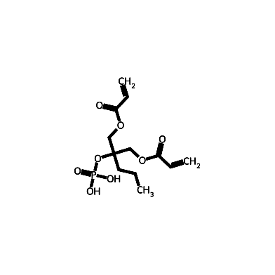 C=CC(=O)OCC(CCC)(COC(=O)C=C)OP(=O)(O)O